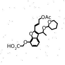 CC(=O)OCC=Cc1oc2c(OCC(=O)O)cccc2c1C(C)OC1CCCCO1